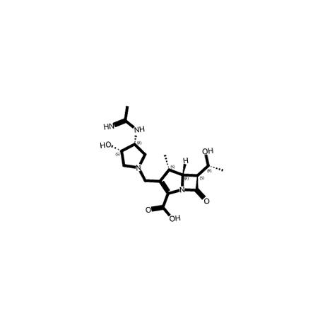 CC(=N)N[C@@H]1CN(CC2=C(C(=O)O)N3C(=O)[C@H]([C@@H](C)O)[C@H]3[C@H]2C)C[C@@H]1O